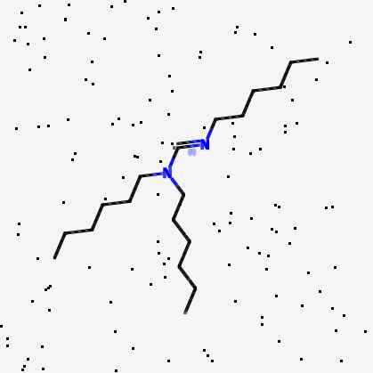 CCCCCC/N=[C]/N(CCCCCC)CCCCCC